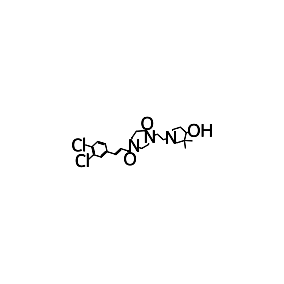 CC1(C)CN(CCN2CCN(C(=O)/C=C/c3ccc(Cl)c(Cl)c3)CCC2=O)CCC1O